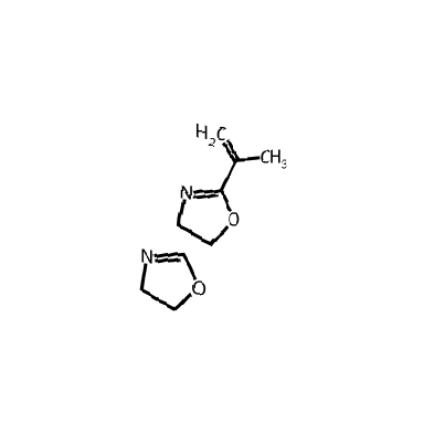 C1=NCCO1.C=C(C)C1=NCCO1